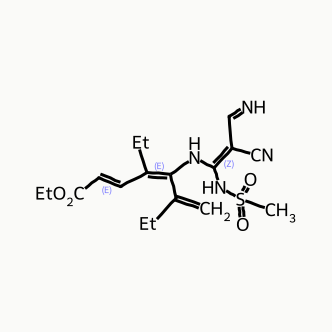 C=C(CC)/C(N/C(NS(C)(=O)=O)=C(/C#N)C=N)=C(\C=C\C(=O)OCC)CC